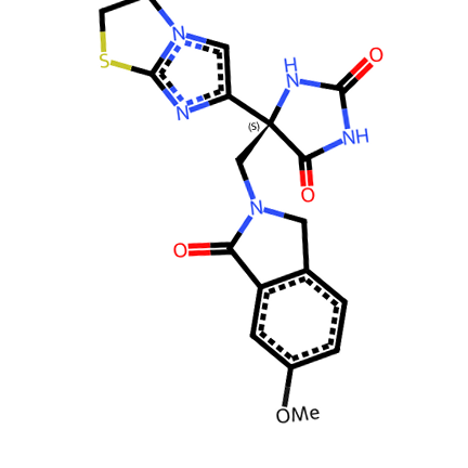 COc1ccc2c(c1)C(=O)N(C[C@@]1(c3cn4c(n3)SCC4)NC(=O)NC1=O)C2